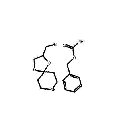 BrCC1COC2(CCNCC2)O1.NC(=O)OCc1ccccc1